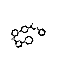 O=C(COc1ccccc1)N1CCC(N2CCCC(Nc3nccc(N4CCCCCC4)n3)C2)CC1